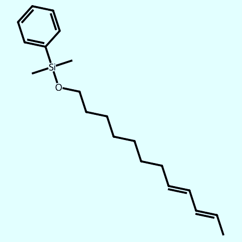 C/C=C/C=C/CCCCCCCO[Si](C)(C)c1ccccc1